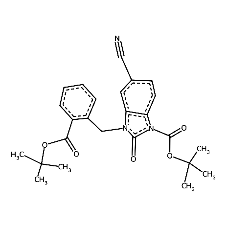 CC(C)(C)OC(=O)c1ccccc1Cn1c(=O)n(C(=O)OC(C)(C)C)c2ccc(C#N)cc21